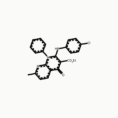 CCOC(=O)c1c(Nc2ccc(Cl)cc2)n(-c2ccccc2)c2nc(C)ccc2c1=O